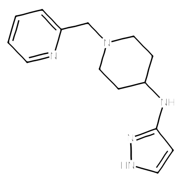 c1ccc(CN2CCC(Nc3cc[nH]n3)CC2)nc1